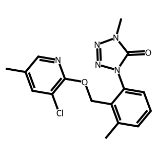 Cc1cnc(OCc2c(C)cccc2-n2nnn(C)c2=O)c(Cl)c1